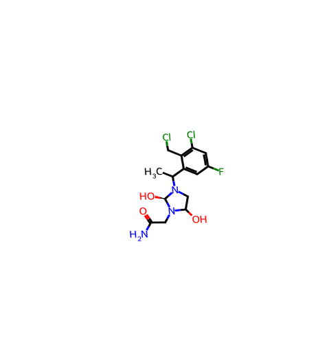 CC(c1cc(F)cc(Cl)c1CCl)N1CC(O)N(CC(N)=O)[C@H]1O